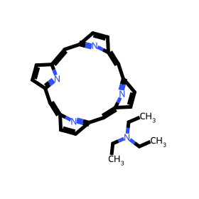 C1=CC2=NC1=CC1=NC(=CC3=NC(=CC4=NC(=C2)C=C4)C=C3)C=C1.CCN(CC)CC